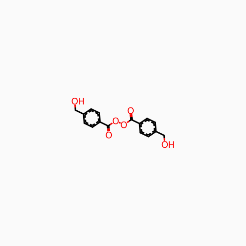 O=C(OOC(=O)c1ccc(CO)cc1)c1ccc(CO)cc1